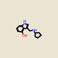 Oc1cccc2[nH]cc(CNC3CCCC3)c12